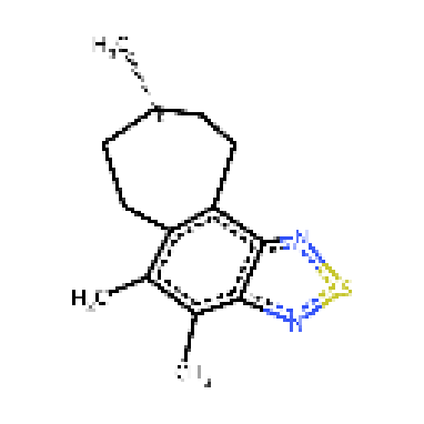 Cc1c2c(c3nsnc3c1C)CC[C@@H](C)CC2